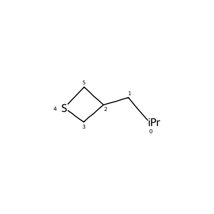 CC(C)CC1CSC1